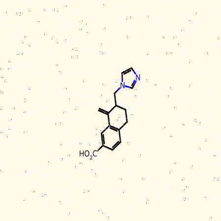 C=C1c2cc(C(=O)O)ccc2CCC1Cn1ccnc1